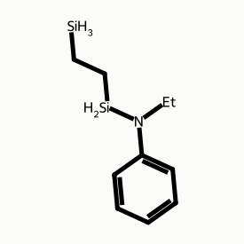 CCN([SiH2]CC[SiH3])c1ccccc1